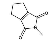 CN1C(=O)C2=C(CCC2)C1=O